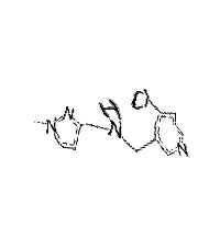 Cn1ccc(NCc2cnccc2Cl)n1